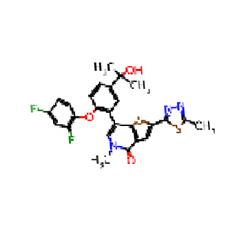 Cc1nnc(-c2cc3c(=O)n(C)cc(-c4cc(C(C)(C)O)ccc4Oc4ccc(F)cc4F)c3s2)s1